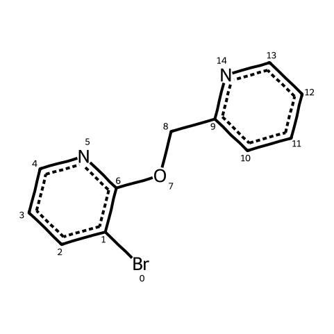 Brc1cccnc1OCc1ccccn1